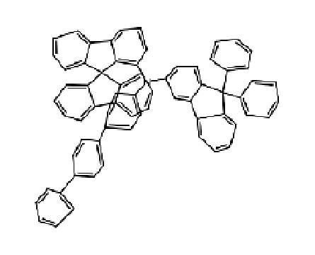 c1ccc(-c2ccc(-c3ccc(N(c4ccc5c(c4)-c4ccccc4C5(c4ccccc4)c4ccccc4)c4cccc5c4C4(c6ccccc6-c6ccccc64)c4ccccc4-5)cc3)cc2)cc1